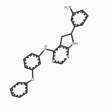 Nc1cccc(C2Cc3c(Nc4cccc(Oc5ccccc5)c4)ncnc3N2)c1